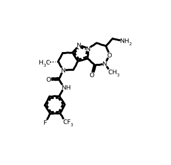 C[C@@H]1Cc2nn3c(c2CN1C(=O)Nc1ccc(F)c(C(F)(F)F)c1)C(=O)N(C)OC(CN)C3